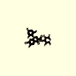 O=C(NC(C(F)CF)C(F)C(F)F)c1cn(-c2c(F)cc(F)cc2F)c2nc(Cl)c(F)cc2c1=O